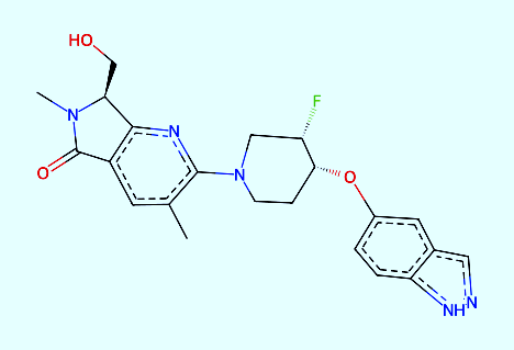 Cc1cc2c(nc1N1CC[C@@H](Oc3ccc4[nH]ncc4c3)[C@@H](F)C1)[C@H](CO)N(C)C2=O